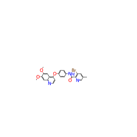 COc1cc2nccc(Oc3ccc(NC(=O)c4ncc(C)cc4Br)cc3)c2cc1OC